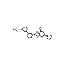 O=C(O)c1cccc(-c2cccc(-c3nn4c(=O)cc(N5CCCCC5)nc4s3)c2)c1